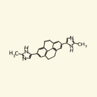 Cc1ncc(-c2cc3c4c(c2)CCc2cc(-c5cnc(C)[nH]5)cc(c2-4)CC3)[nH]1